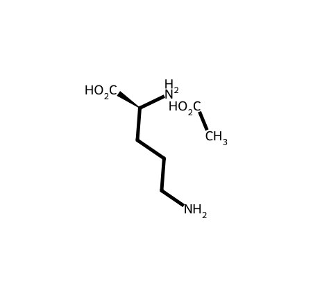 CC(=O)O.NCCC[C@H](N)C(=O)O